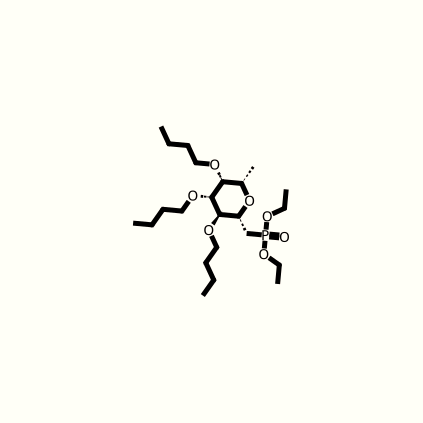 CCCCO[C@@H]1[C@H](OCCCC)[C@H](C)O[C@H](CP(=O)(OCC)OCC)[C@H]1OCCCC